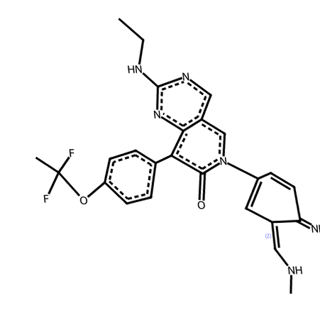 CCNc1ncc2cn(C3=C/C(=C/NC)C(=N)C=C3)c(=O)c(-c3ccc(OC(C)(F)F)cc3)c2n1